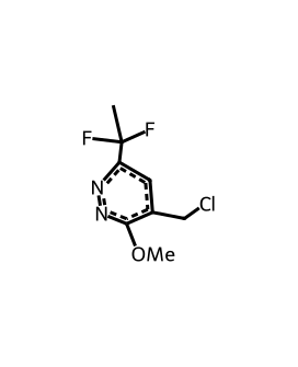 COc1nnc(C(C)(F)F)cc1CCl